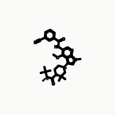 COc1c(NC(=O)c2cccc(C#N)c2)cnc2c1c([C@@H]1CCN(C(=O)[C@H](C)C(C)(C)C)C(C)(C)C1)cn2C